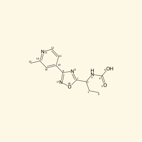 CCC(NC(=O)O)c1nc(-c2ccnc(C)c2)no1